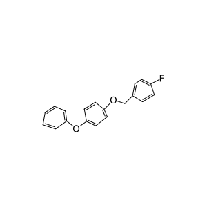 Fc1ccc(COc2ccc(Oc3ccccc3)cc2)cc1